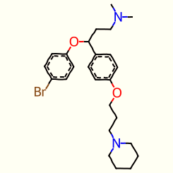 CN(C)CCC(Oc1ccc(Br)cc1)c1ccc(OCCCN2CCCCC2)cc1